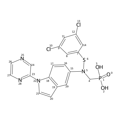 O=P(O)(O)CN(Sc1cc(Cl)cc(Cl)c1)c1ccc2c(ccn2-c2cnccn2)c1